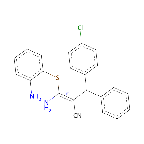 N#C/C(=C(\N)Sc1ccccc1N)C(c1ccccc1)c1ccc(Cl)cc1